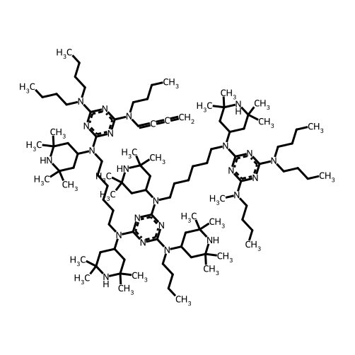 C=C=C=CN(CCCC)c1nc(N(CCCC)CCCC)nc(N(CCCCCCN(c2nc(N(CCCC)C3CC(C)(C)NC(C)(C)C3)nc(N(CCCCCCN(c3nc(N(C)CCCC)nc(N(CCCC)CCCC)n3)C3CC(C)(C)NC(C)(C)C3)C3CC(C)(C)NC(C)(C)C3)n2)C2CC(C)(C)NC(C)(C)C2)C2CC(C)(C)NC(C)(C)C2)n1